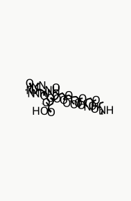 CNC(=O)C(C)OC(=O)CC(OC(=O)CC(OC(=O)CC(OC(=O)CC(OC)C(=O)O)C(=O)NNC(=O)c1ncn2c(=O)n(C)nnc12)C(=O)O)C(N)=O